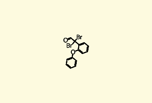 O=CC(Br)(Br)c1ccccc1Oc1ccccc1